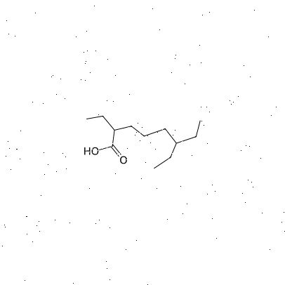 CCC(CC)CCCC(CC)C(=O)O